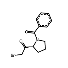 O=C(CBr)[C@@H]1CCCN1C(=O)c1ccccc1